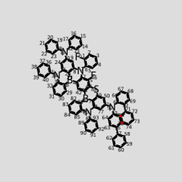 Fc1ccccc1N1c2cc(N(c3ccccc3)c3ccccc3)cc3c2B(c2ccccc2N3c2ccccc2)c2cc3c(c(F)c21)Sc1cc(N(c2ccc(-c4ccccc4)cc2)c2ccccc2-c2ccccc2)cc2c1B3c1ccccc1N2c1ccccc1